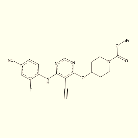 C#Cc1c(Nc2ccc(C#N)cc2F)ncnc1OC1CCN(C(=O)OC(C)C)CC1